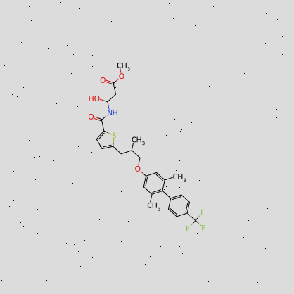 COC(=O)CC(O)NC(=O)c1ccc(CC(C)COc2cc(C)c(-c3ccc(C(F)(F)F)cc3)c(C)c2)s1